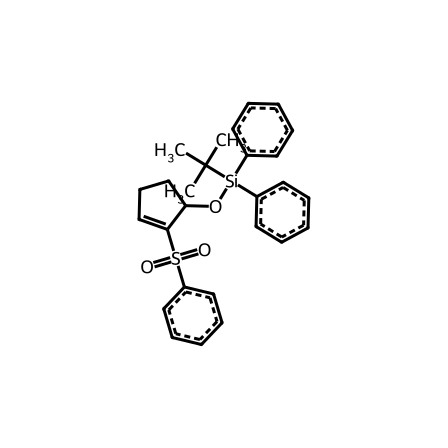 CC(C)(C)[Si](OC1CCC=C1S(=O)(=O)c1ccccc1)(c1ccccc1)c1ccccc1